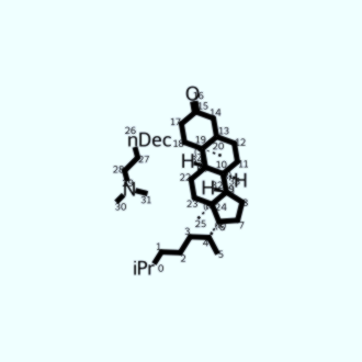 CC(C)CCCC(C)[C@H]1CC[C@H]2[C@@H]3CCC4CC(=O)CC[C@]4(C)[C@H]3CC[C@]12C.CCCCCCCCCCCCN(C)C